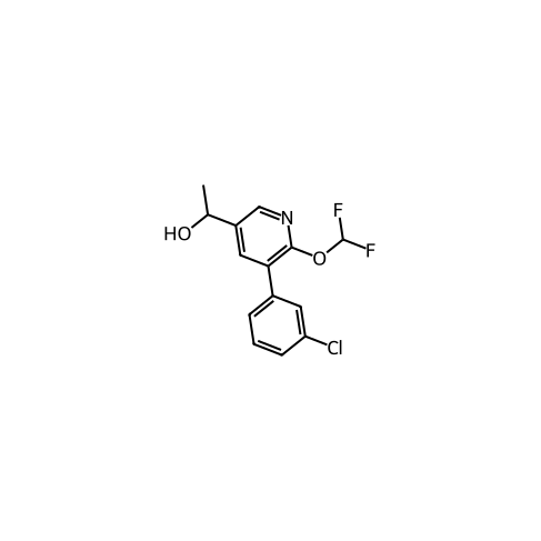 CC(O)c1cnc(OC(F)F)c(-c2cccc(Cl)c2)c1